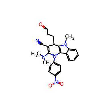 CN(C)C1=C(C#N)C(CCC=O)c2c(c3ccccc3n2C)N1c1ccc([N+](=O)[O-])cc1